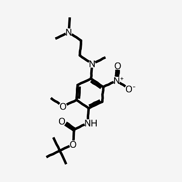 COc1cc(N(C)CCN(C)C)c([N+](=O)[O-])cc1NC(=O)OC(C)(C)C